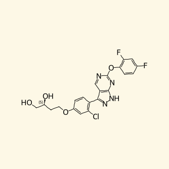 OC[C@@H](O)CCOc1ccc(-c2n[nH]c3nc(Oc4ccc(F)cc4F)ncc23)c(Cl)c1